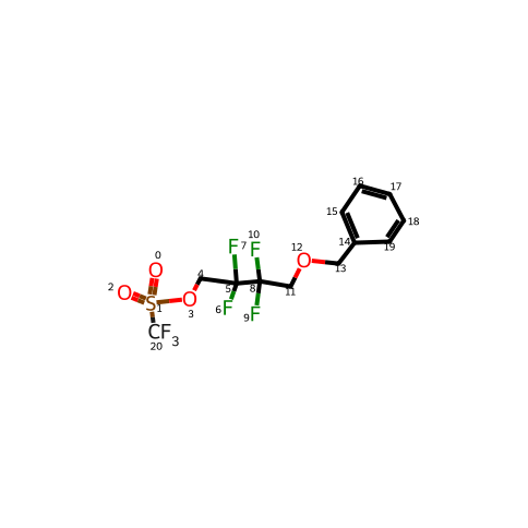 O=S(=O)(OCC(F)(F)C(F)(F)COCc1ccccc1)C(F)(F)F